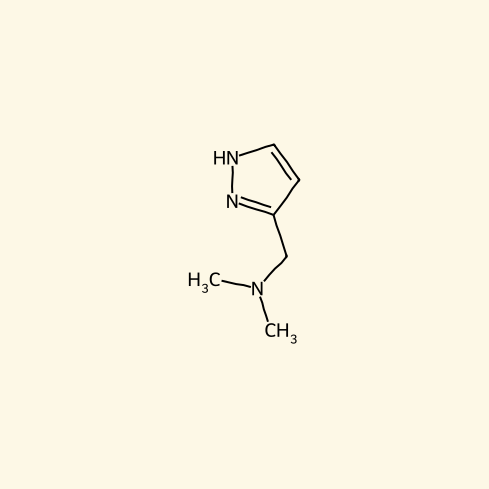 CN(C)Cc1cc[nH]n1